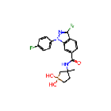 CC1(NC(=O)c2ccc3c(Br)nn(-c4ccc(F)cc4)c3c2)CCS(O)(O)C1